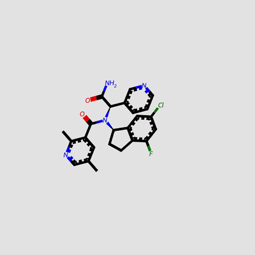 Cc1cnc(C)c(C(=O)N([C@@H]2CCc3c(F)cc(Cl)cc32)[C@@H](C(N)=O)c2cccnc2)c1